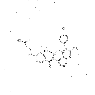 CC(=O)N(c1ccc(Cl)cc1)[C@@H]1C[C@H](C)N(C(=O)c2ccc(NCCC(=O)O)cc2)c2ccccc21